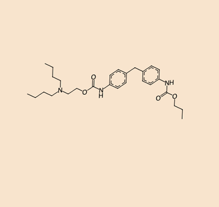 CCCCN(CCCC)CCOC(=O)Nc1ccc(Cc2ccc(NC(=O)OCCC)cc2)cc1